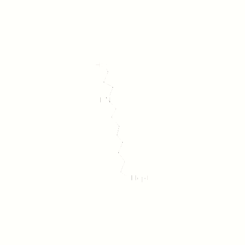 CCCCCCCCCCCCCCCNCCCO